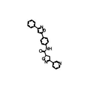 O=C(Nc1ccc(-c2cc(-c3ccccc3)no2)cc1)C1CC(c2cccnc2)=NO1